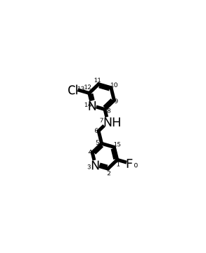 Fc1cncc(CNc2cccc(Cl)n2)c1